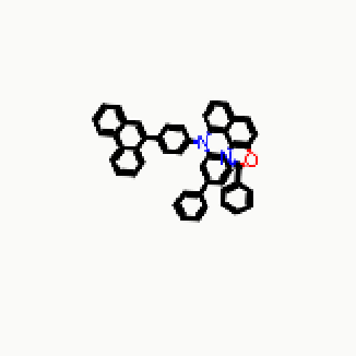 c1ccc(-c2cccc(N(c3ccc(-c4cc5ccccc5c5ccccc45)cc3)c3cccc4ccc5oc(-c6ccccc6)nc5c34)c2)cc1